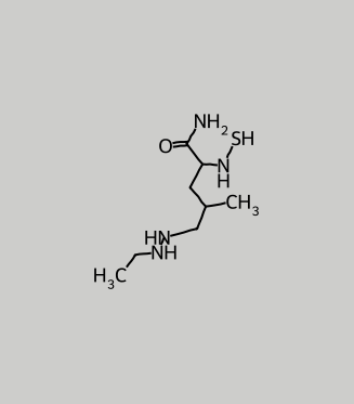 CCNNCC(C)CC(NS)C(N)=O